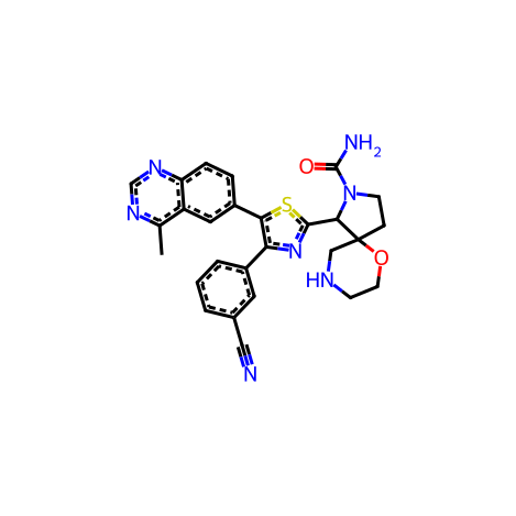 Cc1ncnc2ccc(-c3sc(C4N(C(N)=O)CCC45CNCCO5)nc3-c3cccc(C#N)c3)cc12